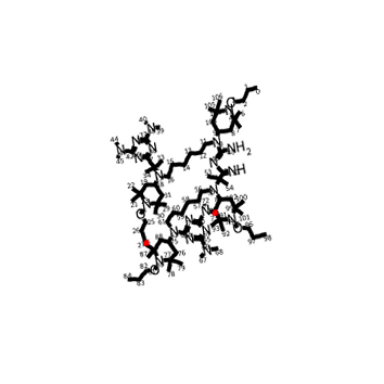 CCCON1C(C)(C)CC(N(CCCCCCN(C2CC(C)(C)N(OCCC)C(C)(C)C2)C(C)(C)c2nc(N(C)C)nc(N(C)C)n2)/C(N)=N/C(=N)C(C)(C)N(CCCCCCN(c2nc(N(C)C)nc(N(C)C)n2)C2CC(C)(C)N(OCCC)C(C)(C)C2)C2CC(C)(C)N(OCCC)C(C)(C)C2)CC1(C)C